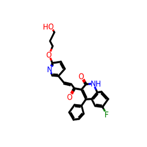 O=C(/C=C/c1ccc(OCCCO)nc1)c1c(-c2ccccc2)c2cc(F)ccc2[nH]c1=O